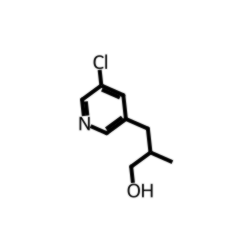 CC(CO)Cc1cncc(Cl)c1